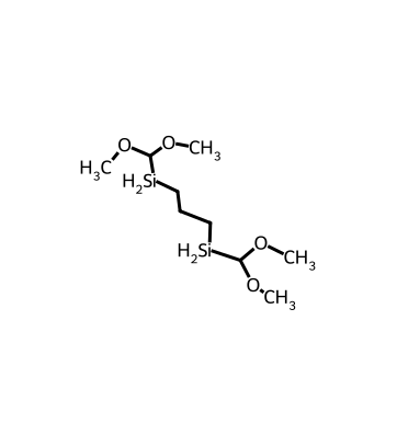 COC(OC)[SiH2]CCC[SiH2]C(OC)OC